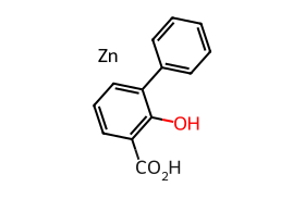 O=C(O)c1cccc(-c2ccccc2)c1O.[Zn]